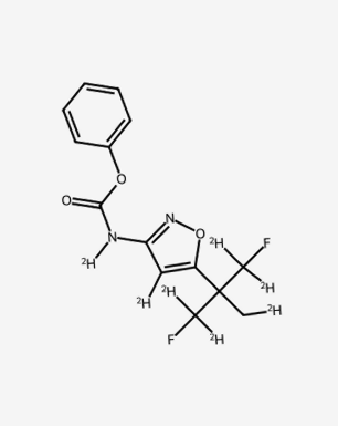 [2H]CC(c1onc(N([2H])C(=O)Oc2ccccc2)c1[2H])(C([2H])([2H])F)C([2H])([2H])F